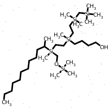 CCCCCCCCCCC(C)[Si](C)(CC[Si](C)(CCCCO)CC[Si](C)(C)C[Si](C)(C)C)CO[Si](C)(C)C